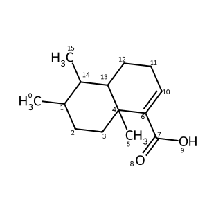 CC1CCC2(C)C(C(=O)O)=CCCC2C1C